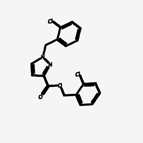 O=C(OCc1ccccc1Cl)c1ccn(Cc2ccccc2Cl)n1